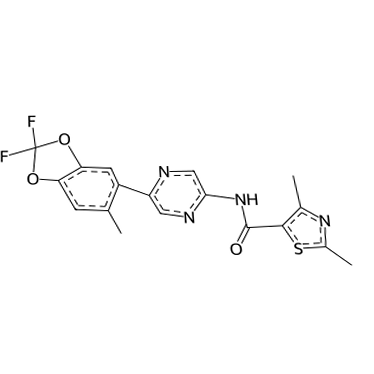 Cc1nc(C)c(C(=O)Nc2cnc(-c3cc4c(cc3C)OC(F)(F)O4)cn2)s1